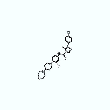 Cc1c(C(=O)Nc2ccc(N3CCC(N4CCOCC4)CC3)c(Cl)c2)cnn1-c1ccc(Cl)cc1